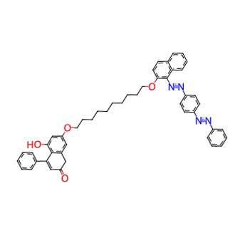 O=C1C=C(c2ccccc2)c2c(O)cc(OCCCCCCCCCCOc3ccc4ccccc4c3/N=N/c3ccc(/N=N/c4ccccc4)cc3)cc2C1